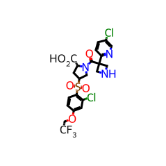 O=C(O)C1CC(S(=O)(=O)c2ccc(OCC(F)(F)F)cc2Cl)CN1C(=O)C1(c2ccc(Cl)cn2)CNC1